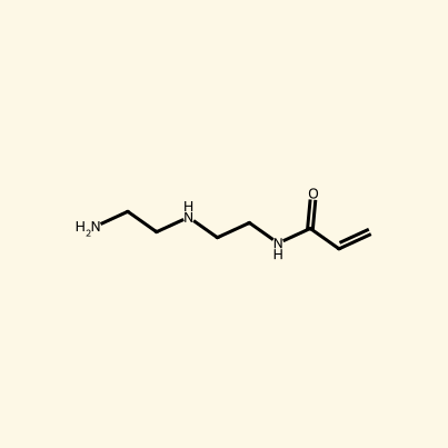 C=CC(=O)NCCNCCN